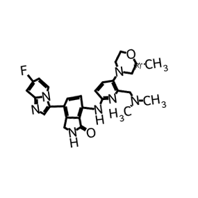 C[C@@H]1CN(c2ccc(Nc3ccc(-c4cnc5cc(F)ccn45)c4c3C(=O)NC4)nc2CN(C)C)CCO1